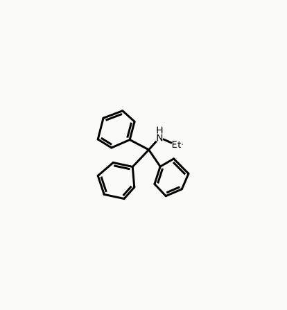 C[CH]NC(c1ccccc1)(c1ccccc1)c1ccccc1